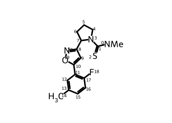 CNC(=S)N1CCCC1c1cc(-c2cc(C)ccc2F)on1